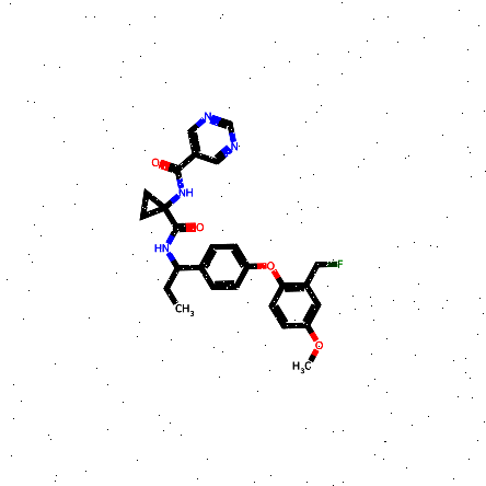 CCC(NC(=O)C1(NC(=O)c2cncnc2)CC1)c1ccc(Oc2ccc(OC)cc2CF)cc1